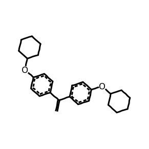 C=C(c1ccc(OC2CCCCC2)cc1)c1ccc(OC2CCCCC2)cc1